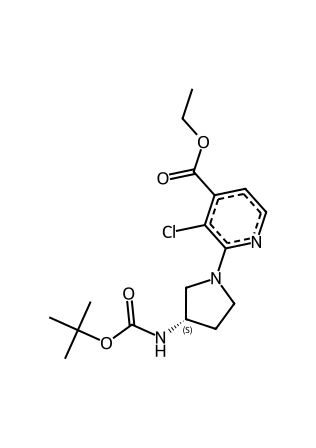 CCOC(=O)c1ccnc(N2CC[C@H](NC(=O)OC(C)(C)C)C2)c1Cl